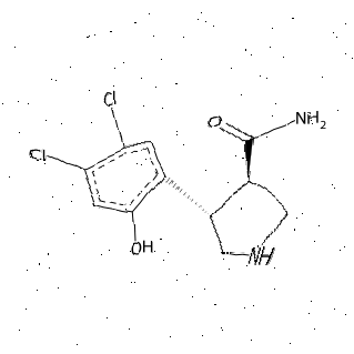 NC(=O)[C@H]1CNC[C@@H]1c1cc(Cl)c(Cl)cc1O